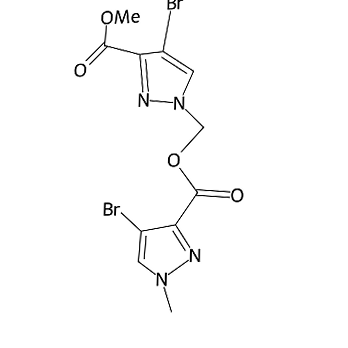 COC(=O)c1nn(COC(=O)c2nn(C)cc2Br)cc1Br